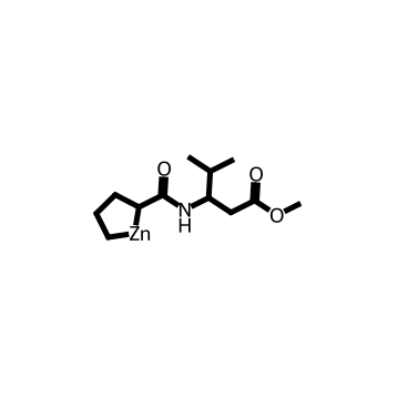 COC(=O)CC(NC(=O)[CH]1CC[CH2][Zn]1)C(C)C